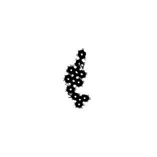 c1ccc(-c2ccc(-c3c4ccccc4c(-c4c5ccccc5c(-c5ccc6sc7cc8c9ccccc9c9ccccc9c8cc7c6c5)c5ccccc45)c4ccccc34)nc2)cc1